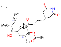 CCC/C=C/C(OC)[C@@H](O)C(C)/C=C(/C)[C@H](OC(=O)C(C)C)C(C)C(O)CCCC1CC(=O)NC(=O)C1